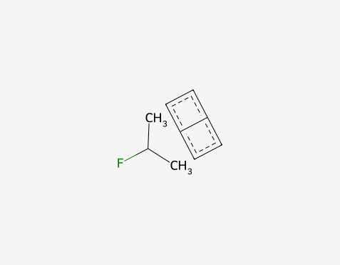 CC(C)F.c1cc2ccc1-2